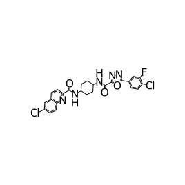 O=C(NC1CCC(NC(=O)c2nnc(-c3ccc(Cl)c(F)c3)o2)CC1)c1ccc2cc(Cl)ccc2n1